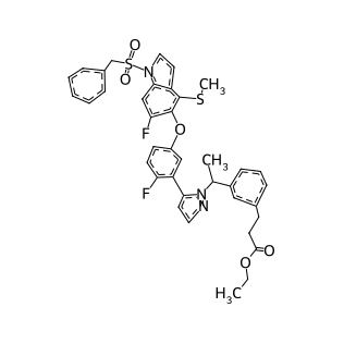 CCOC(=O)CCc1cccc(C(C)n2nccc2-c2cc(Oc3c(F)cc4c(ccn4S(=O)(=O)Cc4ccccc4)c3SC)ccc2F)c1